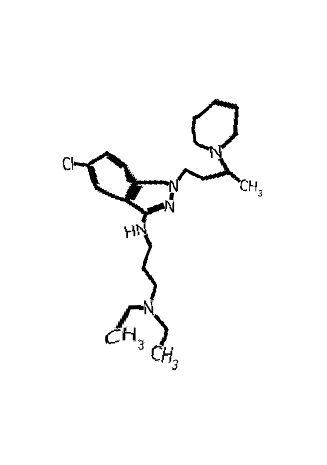 CCN(CC)CCCNc1nn(CCC(C)N2CCCCC2)c2ccc(Cl)cc12